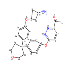 CC(=O)c1ccc(Oc2ccc(C3(c4ccc(OC5CC(N)C5)cc4)CCOCC3)cc2)nn1